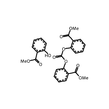 COC(=O)c1ccccc1O.COC(=O)c1ccccc1OC(=O)Oc1ccccc1C(=O)OC